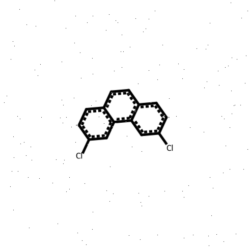 Clc1[c]cc2ccc3c[c]c(Cl)cc3c2c1